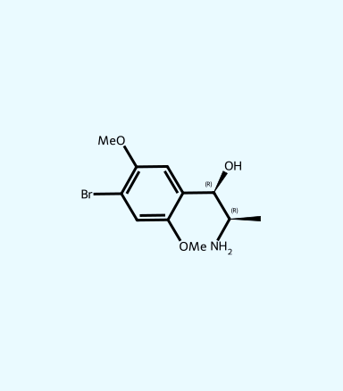 COc1cc([C@@H](O)[C@@H](C)N)c(OC)cc1Br